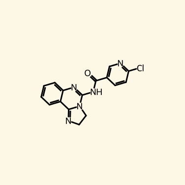 O=C(NC1=Nc2ccccc2C2=NCCN12)c1ccc(Cl)nc1